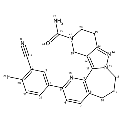 N#Cc1cc(-c2ccc3c(n2)-c2c4c(nn2CCC3)CCN(C(N)=O)C4)ccc1F